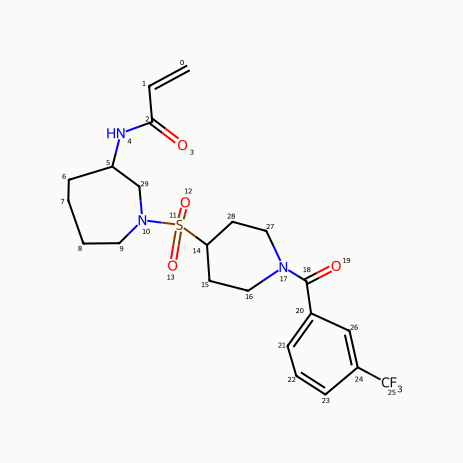 C=CC(=O)NC1CCCCN(S(=O)(=O)C2CCN(C(=O)c3cccc(C(F)(F)F)c3)CC2)C1